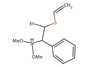 C=CSC(CC)C(c1ccccc1)[SiH](OC)OC